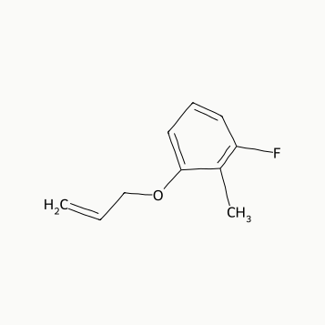 C=CCOc1cccc(F)c1C